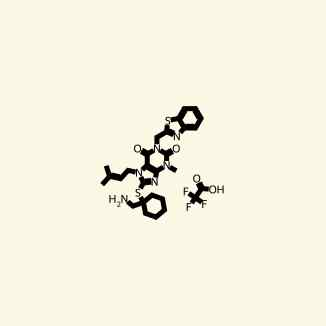 CC(C)=CCn1c(SC2(CN)CCCCC2)nc2c1c(=O)n(Cc1nc3ccccc3s1)c(=O)n2C.O=C(O)C(F)(F)F